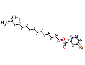 CC(C)CCCCCCCCCCCCCOC(=O)c1cncc(Br)c1